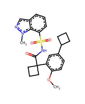 COc1ccc(C2CCC2)cc1C1(C(=O)NS(=O)(=O)c2cccc3cnn(C)c23)CCC1